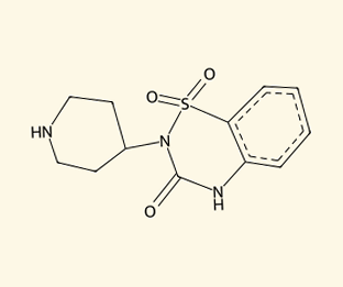 O=C1Nc2ccccc2S(=O)(=O)N1C1CCNCC1